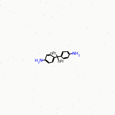 CCCC(CCC)(c1ccc(N)cc1)c1ccc(N)cc1